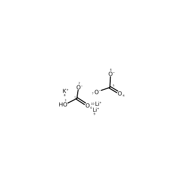 O=C([O-])O.O=C([O-])[O-].[K+].[Li+].[Li+]